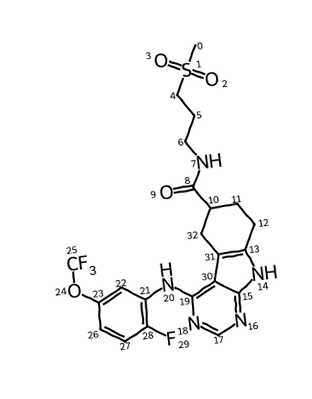 CS(=O)(=O)CCCNC(=O)C1CCc2[nH]c3ncnc(Nc4cc(OC(F)(F)F)ccc4F)c3c2C1